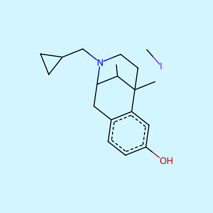 CC1C2Cc3ccc(O)cc3C1(C)CCN2CC1CC1.CI